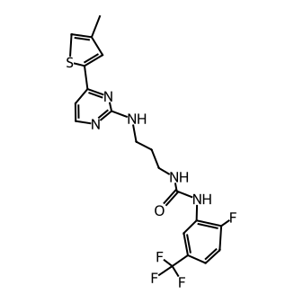 Cc1csc(-c2ccnc(NCCCNC(=O)Nc3cc(C(F)(F)F)ccc3F)n2)c1